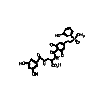 CP(=O)(CCc1cc(Cl)c(C(=O)NC(CNC(=O)c2cc(O)cc(O)c2)C(=O)O)c(Cl)c1)c1cccc(O)c1